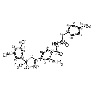 Cc1cc(C2=NOC(c3cc(Cl)cc(Cl)c3)(C(F)(F)F)C2)ccc1C(=O)N[S+]([O-])Cc1ccc(C(C)(C)C)cc1